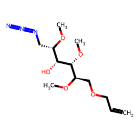 C=CCOC[C@@H](OC)[C@@H](OC)[C@H](O)[C@H](CN=[N+]=[N-])OC